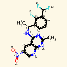 Cc1nc(N[C@H](C)c2cccc(C(F)F)c2F)c2cc([N+](=O)[O-])cnc2n1